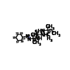 CCC(C)(C)NNC(=S)NC(C)(C)/N=N/C1CCCCC1